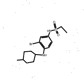 CCS(=O)(=O)Nc1ccc(NC2CCC(C)CC2)c(Br)c1